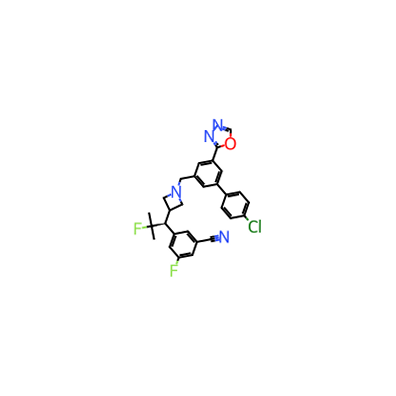 CC(C)(F)[C@H](c1cc(F)cc(C#N)c1)C1CN(Cc2cc(-c3ccc(Cl)cc3)cc(-c3nnco3)c2)C1